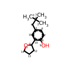 CC(C)(C)Cc1ccc(O)c(C2CCCO2)c1